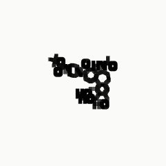 CC(=O)NC1CCc2cc(CO)c(CO)c(CO)c2-c2ccc(N3CCN(C(=O)OC(C)(C)C)CC3)c(=O)cc21